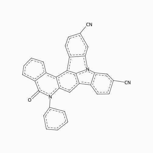 N#Cc1ccc2c3cc4c(c5ccccc5c(=O)n4-c4ccccc4)c4c5ccc(C#N)cc5n(c2c1)c34